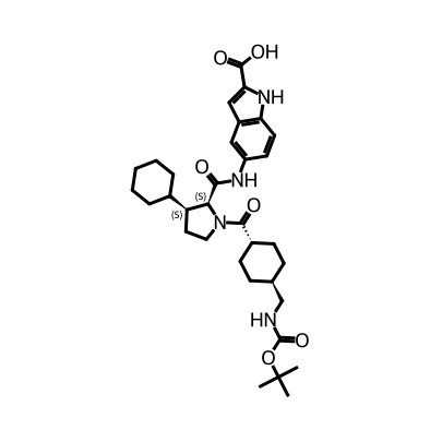 CC(C)(C)OC(=O)NC[C@H]1CC[C@H](C(=O)N2CC[C@@H](C3CCCCC3)[C@H]2C(=O)Nc2ccc3[nH]c(C(=O)O)cc3c2)CC1